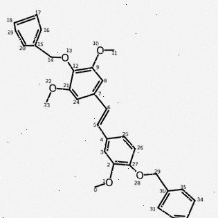 COc1cc(/C=C/c2cc(OC)c(OCc3ccccc3)c(OC)c2)ccc1OCc1ccccc1